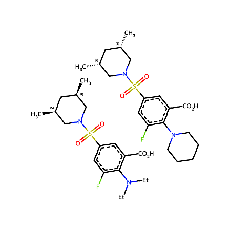 CCN(CC)c1c(F)cc(S(=O)(=O)N2C[C@H](C)C[C@H](C)C2)cc1C(=O)O.C[C@@H]1C[C@H](C)CN(S(=O)(=O)c2cc(F)c(N3CCCCC3)c(C(=O)O)c2)C1